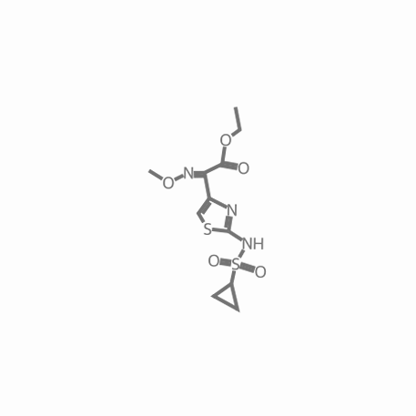 CCOC(=O)/C(=N/OC)c1csc(NS(=O)(=O)C2CC2)n1